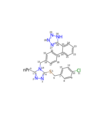 CCCc1nnc(SCc2ccc(Cl)cc2)n1Cc1ccc(-c2ccccc2-c2nnn[nH]2)cc1